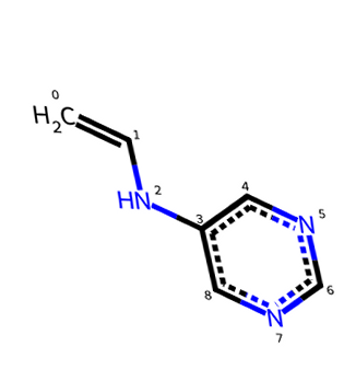 C=CNc1cncnc1